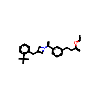 C=C(CCc1cccc(C(=C)N2CC(Cc3ccccc3C(C)(C)C)C2)c1)OCC